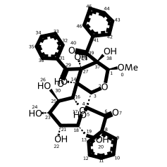 CO[C@H]1O[C@H](C(O)C(=O)c2ccccc2)[C@@](O)([C@@H]2O[C@H](CO)[C@H](O)[C@H](O)[C@H]2O)[C@@](O)(C(=O)c2ccccc2)[C@]1(O)C(=O)c1ccccc1